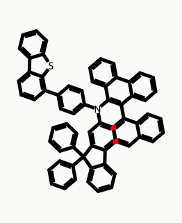 c1ccc(C2(c3ccccc3)c3ccccc3-c3ccc(N(c4ccc(-c5cccc6c5sc5ccccc56)cc4)c4c(-c5cccc6ccccc56)c5ccccc5c5ccccc45)cc32)cc1